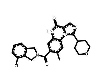 Cc1cc2c(cc1C(=O)N1Cc3cccc(Cl)c3C1)[nH]c(=O)c1cnc(C3CCOCC3)n12